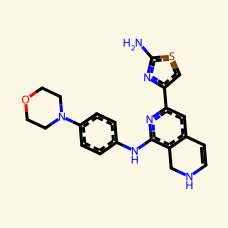 Nc1nc(-c2cc3c(c(Nc4ccc(N5CCOCC5)cc4)n2)CNC=C3)cs1